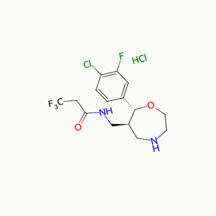 Cl.O=C(CC(F)(F)F)NC[C@@H]1CNCCO[C@H]1c1ccc(Cl)c(F)c1